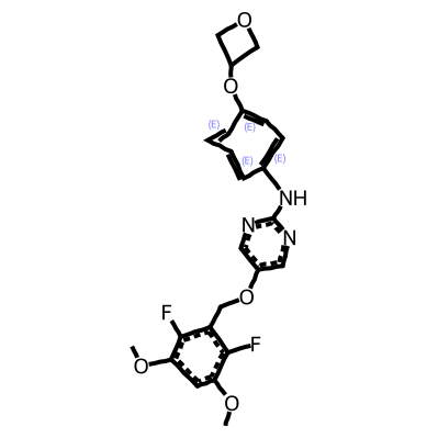 COc1cc(OC)c(F)c(COc2cnc(NC3=C/C=C(OC4COC4)\C=C\C=C\3)nc2)c1F